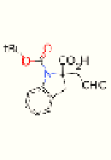 CC(C)(C)OC(=O)N1c2ccccc2CC1(CC=O)C(=O)O